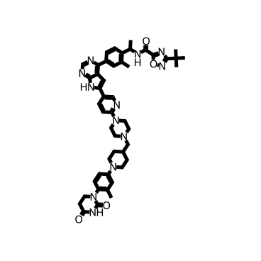 Cc1cc(-c2ncnc3[nH]c(-c4ccc(N5CCN(CC6CCN(c7ccc(N8CCC(=O)NC8=O)c(C)c7)CC6)CC5)nc4)cc23)ccc1C(C)NC(=O)c1nc(C(C)(C)C)no1